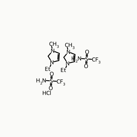 CCN1C=CN(C)C1.CCN1C=CN(C)C1.Cl.NS(=O)(=O)C(F)(F)F.NS(=O)(=O)C(F)(F)F